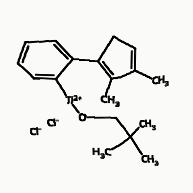 CC1=CCC(c2cccc[c]2[Ti+2][O]CC(C)(C)C)=C1C.[Cl-].[Cl-]